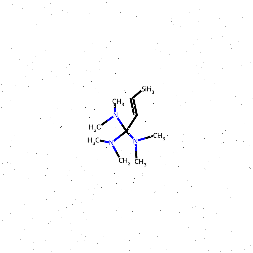 CN(C)C(C=C[SiH3])(N(C)C)N(C)C